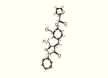 CC1=NN(c2ccccc2)C(=O)/C1=C/c1ccc(OC(=O)c2ccco2)c(Cl)c1